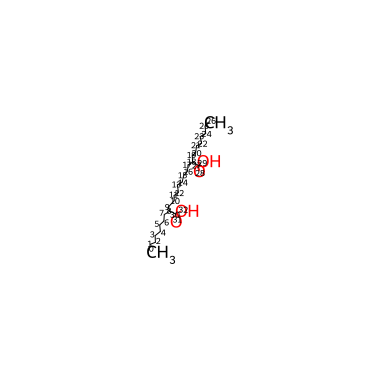 CCCCCCCCC(CCCCCCCCCC(CCCCCCCC)C(=O)O)C(=O)O